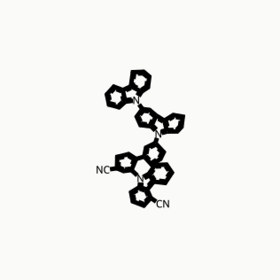 N#Cc1ccc(-c2cccc(-n3c4ccccc4c4cc(-n5c6ccccc6c6ccccc65)ccc43)c2)c(-n2c3ccccc3c3c(C#N)cccc32)c1